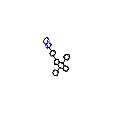 C1=Cn2cc(-c3ccc(-c4ccc5c(-c6ccccc6)c6ccccc6c(-c6ccccc6)c5c4)cc3)nc2CC1